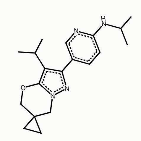 CC(C)Nc1ccc(-c2nn3c(c2C(C)C)OCC2(CC2)C3)cn1